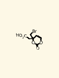 O=C(O)C[C@@]1(CBr)CCOC(=O)O1